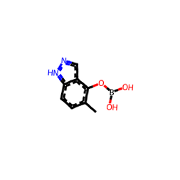 Cc1ccc2[nH]ncc2c1OB(O)O